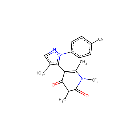 CC1=C(c2c(S(=O)(=O)O)cnn2-c2ccc(C#N)cc2)C(=O)C(C)C(=O)N1C(F)(F)F